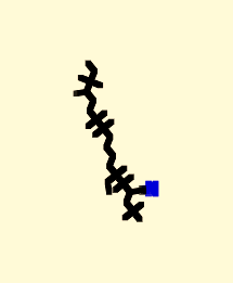 CCC(C)(C)C(C)CCC(C)(C)C(C)(C)CCCCC(C)(CC)C(C)(C)C(C#N)CC(C)(C)C